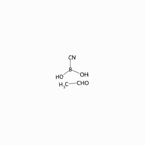 CC=O.N#CB(O)O